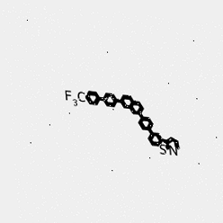 FC(F)(F)c1ccc(-c2ccc(-c3ccc4ccc(-c5ccc(-c6ccc7sc8ncccc8c7c6)cc5)cc4c3)cc2)cc1